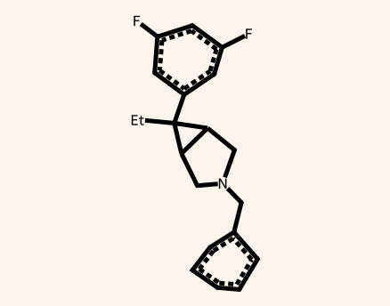 CCC1(c2cc(F)cc(F)c2)C2CN(Cc3ccccc3)CC21